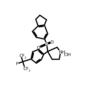 Cl.O=S(=O)(c1ccc2c(c1)CCC2)C1(c2ccc(C(F)(C(F)(F)F)C(F)(F)F)cc2)CCNC1